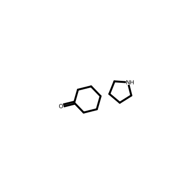 C1CCNC1.O=C1CCCCC1